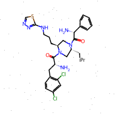 CC(C)C[C@@H]1CN(C(=O)[C@H](N)Cc2ccc(Cl)cc2Cl)[C@@H](CCCNc2nncs2)CN1C(=O)[C@H](N)c1ccccc1